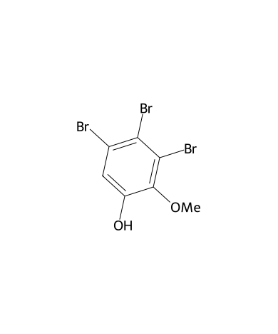 COc1c(O)cc(Br)c(Br)c1Br